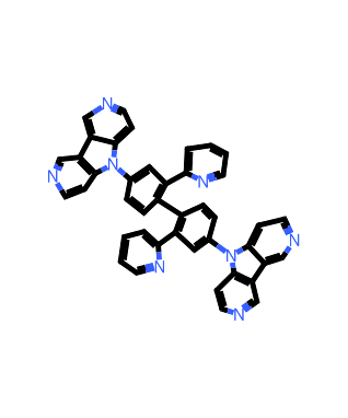 c1ccc(-c2cc(-n3c4ccncc4c4cnccc43)ccc2-c2ccc(-n3c4ccncc4c4cnccc43)cc2-c2ccccn2)nc1